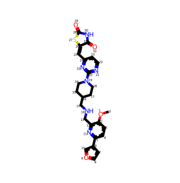 COc1ccc(-c2ccoc2)nc1CNCC1CCN(c2nccc(C=C3SC(=O)NC3=O)n2)CC1